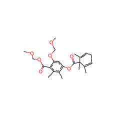 COCOC(=O)c1c(OCOC)cc(OC(=O)C2(C)C(C)=CCC=C2C)c(C)c1C